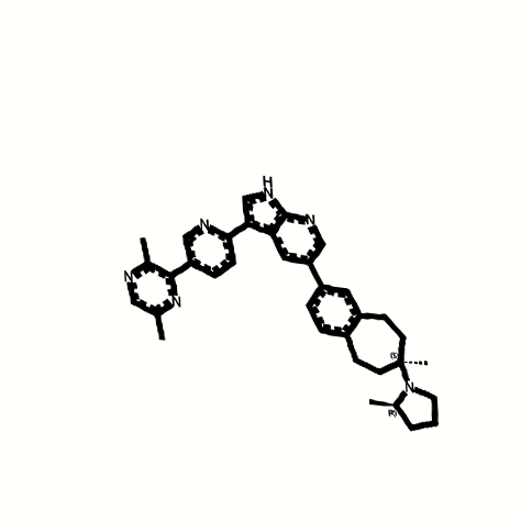 Cc1cnc(C)c(-c2ccc(-c3c[nH]c4ncc(-c5ccc6c(c5)CC[C@@](C)(N5CCC[C@H]5C)CC6)cc34)nc2)n1